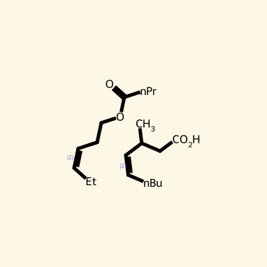 CC/C=C\CCOC(=O)CCC.CCCC/C=C\C(C)CC(=O)O